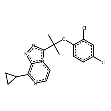 CC(C)(Oc1ccc(Cl)cc1Cl)c1nnc2c(C3CC3)nccn12